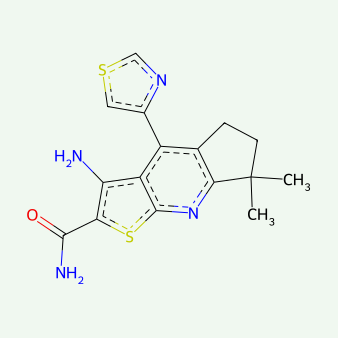 CC1(C)CCc2c1nc1sc(C(N)=O)c(N)c1c2-c1cscn1